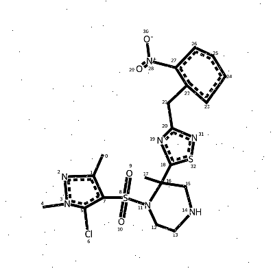 Cc1nn(C)c(Cl)c1S(=O)(=O)N1CCNCC1(C)c1nc(Cc2ccccc2[N+](=O)[O-])ns1